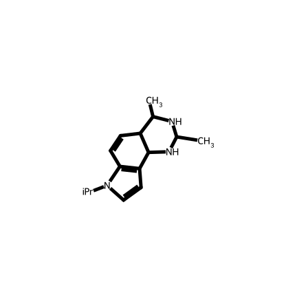 CC1NC(C)C2C=Cc3c(ccn3C(C)C)C2N1